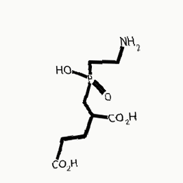 NCCP(=O)(O)CC(CCC(=O)O)C(=O)O